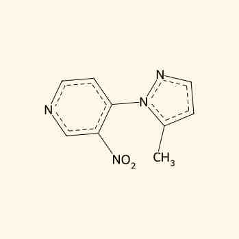 Cc1ccnn1-c1ccncc1[N+](=O)[O-]